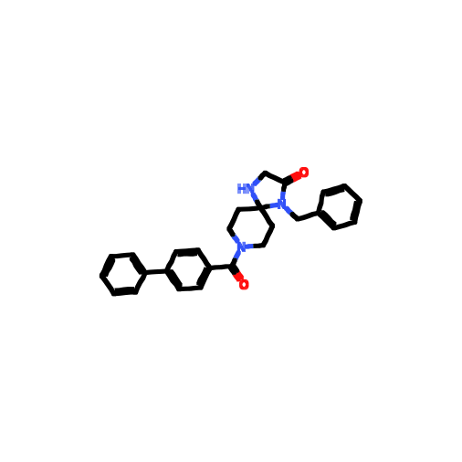 O=C(c1ccc(-c2ccccc2)cc1)N1CCC2(CC1)NCC(=O)N2Cc1ccccc1